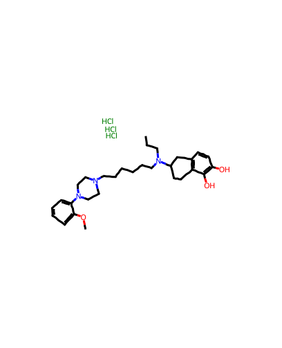 CCCN(CCCCCCN1CCN(c2ccccc2OC)CC1)C1CCc2c(ccc(O)c2O)C1.Cl.Cl.Cl